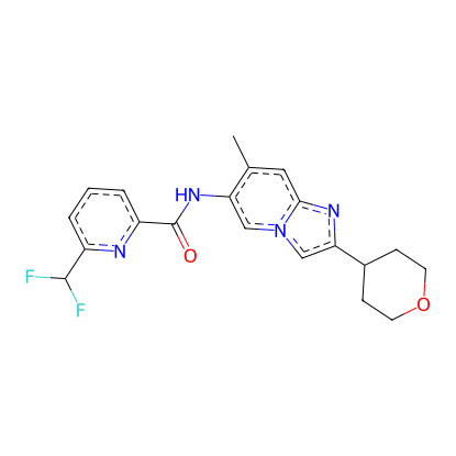 Cc1cc2nc(C3CCOCC3)cn2cc1NC(=O)c1cccc(C(F)F)n1